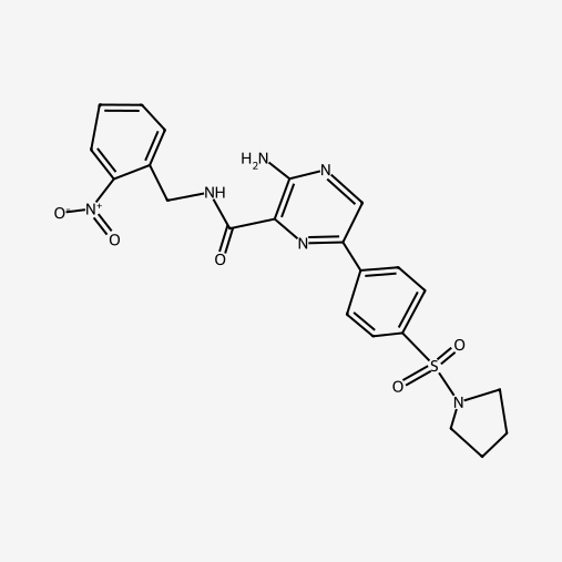 Nc1ncc(-c2ccc(S(=O)(=O)N3CCCC3)cc2)nc1C(=O)NCc1ccccc1[N+](=O)[O-]